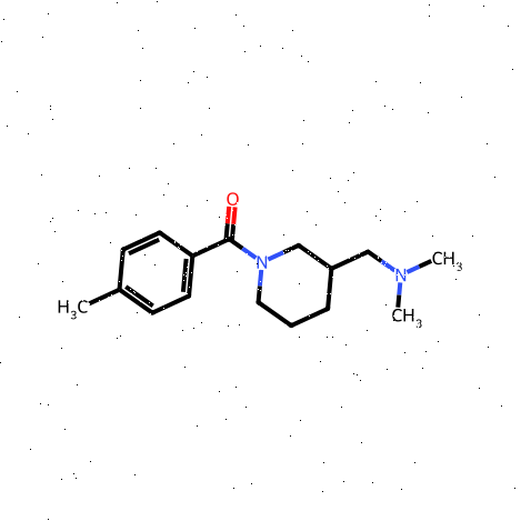 Cc1ccc(C(=O)N2CCCC(CN(C)C)C2)cc1